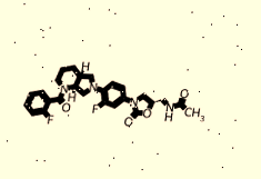 CC(=O)NC[C@H]1CN(c2ccc(N3C[C@H]4CCCN(C(=O)c5ccccc5F)[C@H]4C3)c(F)c2)C(=O)O1